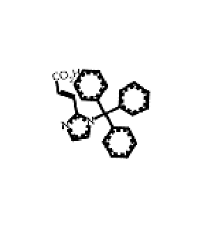 O=C(O)C=Cc1nccn1C(c1ccccc1)(c1ccccc1)c1ccccc1